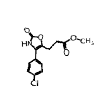 COC(=O)CCc1oc(=O)[nH]c1-c1ccc(Cl)cc1